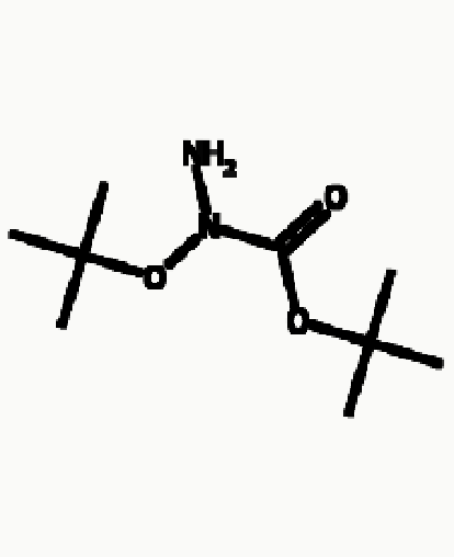 CC(C)(C)OC(=O)N(N)OC(C)(C)C